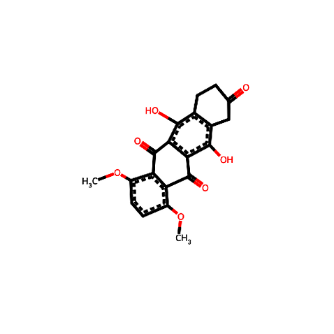 COc1ccc(OC)c2c1C(=O)c1c(O)c3c(c(O)c1C2=O)CC(=O)CC3